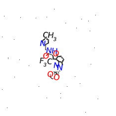 Cc1ccc(CNC(=O)c2oc3ccc4cn(C[C@H]5COCCO5)nc4c3c2C(F)(F)F)nc1